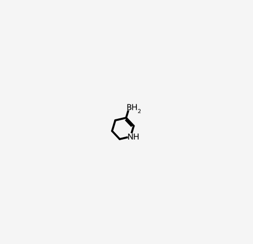 BC1=CNCCC1